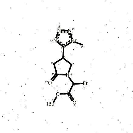 CCC(C(=O)OC(C)(C)C)N1CC(c2nnnn2C)CC1=O